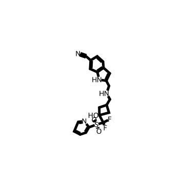 N#Cc1ccc2cc(CNCC3CC(O)(C(F)(F)S(=O)(=O)c4ccccn4)C3)[nH]c2c1